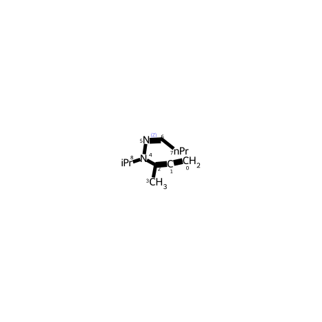 C=C=C(C)N(/N=C\CCC)C(C)C